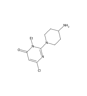 CCn1c(N2CCC(N)CC2)nc(Cl)cc1=O